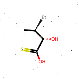 CC[C@H](C)[C@H](O)C(O)=S